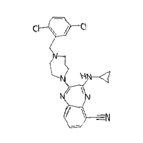 N#Cc1cccc2nc(N3CCN(Cc4cc(Cl)ccc4Cl)CC3)c(NC3CC3)nc12